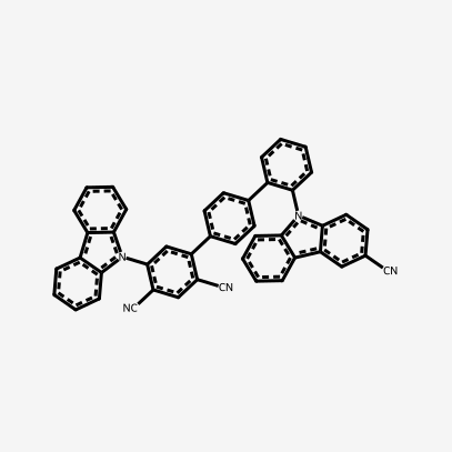 N#Cc1ccc2c(c1)c1ccccc1n2-c1ccccc1-c1ccc(-c2cc(-n3c4ccccc4c4ccccc43)c(C#N)cc2C#N)cc1